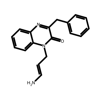 NC=CCn1c(=O)c(Cc2ccccc2)nc2ccccc21